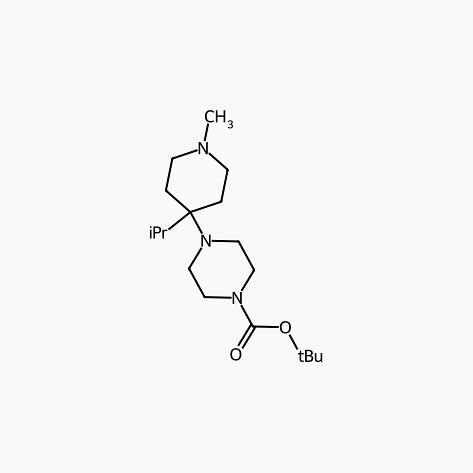 CC(C)C1(N2CCN(C(=O)OC(C)(C)C)CC2)CCN(C)CC1